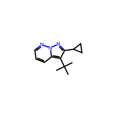 CC(C)(C)c1c(C2CC2)nn2ncccc12